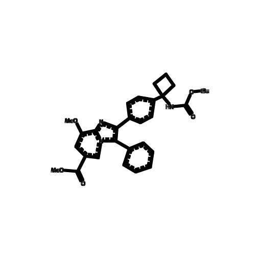 COC(=O)c1cc(OC)c2nc(-c3ccc(C4(NC(=O)OC(C)(C)C)CCC4)cc3)c(-c3ccccc3)n2c1